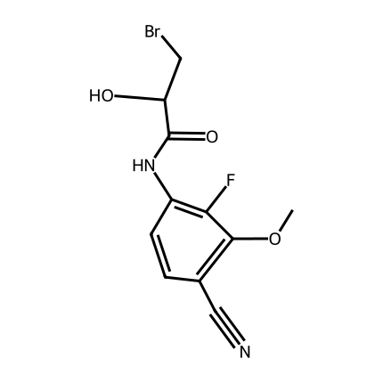 COc1c(C#N)ccc(NC(=O)C(O)CBr)c1F